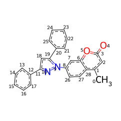 Cc1cc(=O)oc2cc(-n3nc(-c4ccccc4)cc3-c3ccccc3)ccc12